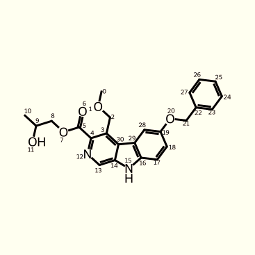 COCc1c(C(=O)OCC(C)O)ncc2[nH]c3ccc(OCc4ccccc4)cc3c12